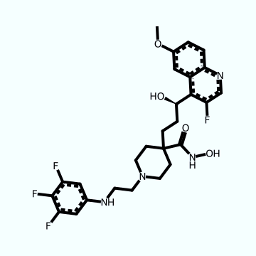 COc1ccc2ncc(F)c([C@H](O)CCC3(C(=O)NO)CCN(CCNc4cc(F)c(F)c(F)c4)CC3)c2c1